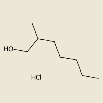 CCCCCC(C)CO.Cl